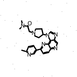 Cc1ccc(-c2ccc3ncc4ncn(C5CCN(CC(=O)N(C)C)CC5)c4c3n2)cn1